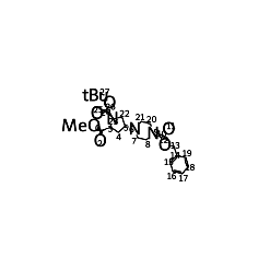 COC(=O)[C@@H]1C[C@@H](N2CCN(C(=O)OCc3ccccc3)CC2)CN1C(=O)OC(C)(C)C